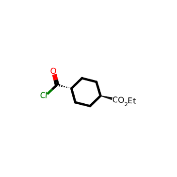 CCOC(=O)[C@H]1CC[C@H](C(=O)Cl)CC1